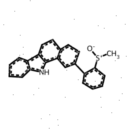 C[S+]([O-])c1ccccc1-c1ccc2ccc3c4ccccc4[nH]c3c2c1